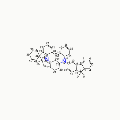 CC1(C)c2ccccc2C2CC(N3C4CC=CCC4B4C5C=CC=C6C5N(C5CCCC3C45)C(C)(C)C63CCCCC3)C=CC21